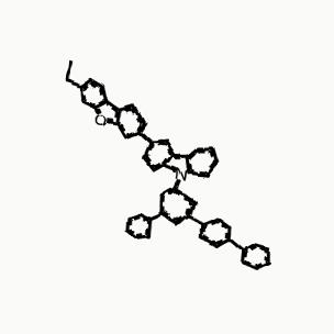 CCc1ccc2c(c1)oc1cc(-c3ccc4c(c3)c3ccccc3n4-c3cc(-c4ccccc4)cc(-c4ccc(-c5ccccc5)cc4)c3)ccc12